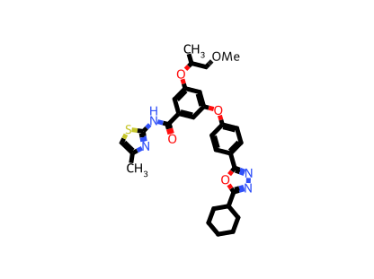 COCC(C)Oc1cc(Oc2ccc(-c3nnc(C4CCCCC4)o3)cc2)cc(C(=O)Nc2nc(C)cs2)c1